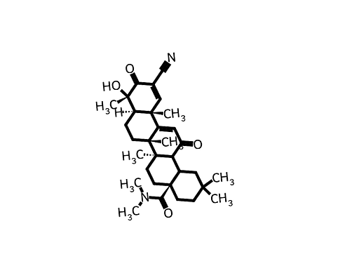 CN(C)C(=O)[C@]12CCC(C)(C)CC1C1C(=O)C=C3[C@@]4(C)C=C(C#N)C(=O)[C@@](C)(O)[C@@H]4CC[C@@]3(C)[C@]1(C)CC2